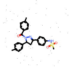 Cc1ccc(C(=O)N2N=C(c3ccc(NS(C)(=O)=O)cc3)CC2c2ccc(C)cc2)cc1